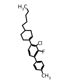 CCCCCC1CC=C(c2ccc(-c3ccc(C)cc3)c(F)c2Cl)CC1